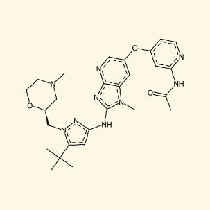 CC(=O)Nc1cc(Oc2cnc3nc(Nc4cc(C(C)(C)C)n(C[C@@H]5CN(C)CCO5)n4)n(C)c3c2)ccn1